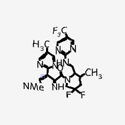 CN/C=C(\C(=N)C(=O)N1CC(F)(F)CC(C)C1CNc1ncc(C(F)(F)F)cn1)c1ncc(C)cn1